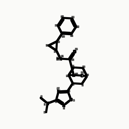 CN(C)c1noc(C2CC3CCC2N(C(=O)NC2CC2c2ccccc2)C3)n1